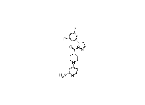 Nc1cc(N2CCC(C(=O)N3N=CC[C@H]3c3cc(F)cc(F)c3)CC2)ncn1